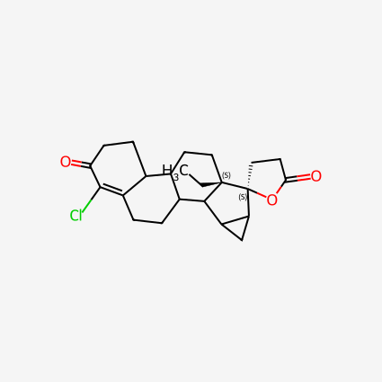 CC[C@]12CCC3C4CCC(=O)C(Cl)=C4CCC3C1C1CC1[C@@]21CCC(=O)O1